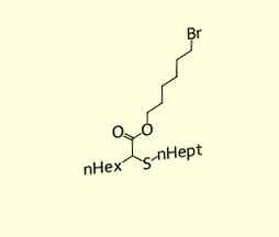 CCCCCCCSC(CCCCCC)C(=O)OCCCCCCBr